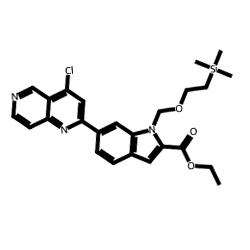 CCOC(=O)c1cc2ccc(-c3cc(Cl)c4cnccc4n3)cc2n1COCC[Si](C)(C)C